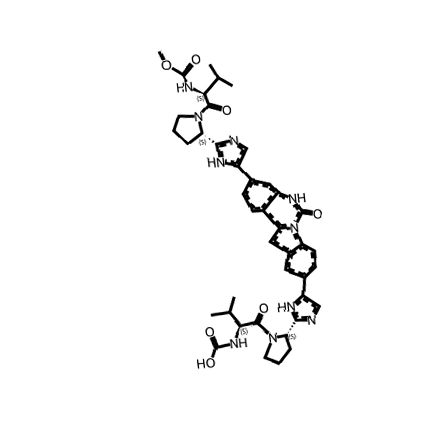 COC(=O)N[C@H](C(=O)N1CCC[C@H]1c1ncc(-c2ccc3c(c2)[nH]c(=O)n2c4ccc(-c5cnc([C@@H]6CCCN6C(=O)[C@@H](NC(=O)O)C(C)C)[nH]5)cc4cc32)[nH]1)C(C)C